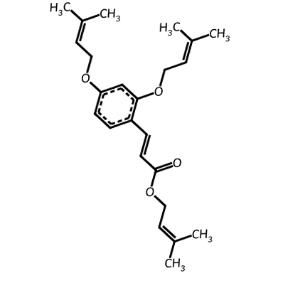 CC(C)=CCOC(=O)C=Cc1ccc(OCC=C(C)C)cc1OCC=C(C)C